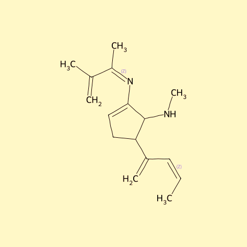 C=C(C)/C(C)=N\C1=CCC(C(=C)/C=C\C)C1NC